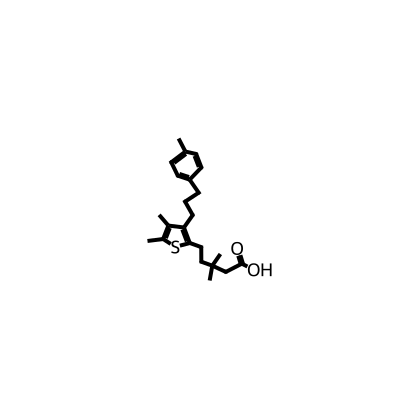 Cc1ccc(CCCc2c(CCC(C)(C)CC(=O)O)sc(C)c2C)cc1